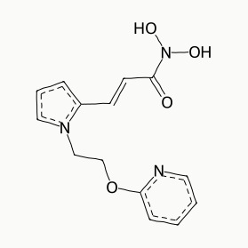 O=C(C=Cc1cccn1CCOc1ccccn1)N(O)O